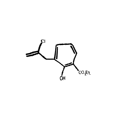 C=C(Cl)Cc1cccc(C(=O)OCC)c1O